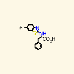 CC(C)c1ccc2nc(N[C@@H](Cc3ccccc3)C(=O)O)sc2c1